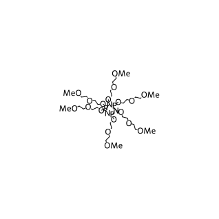 COCCOCCON1P(OCCOCCOC)N=P(OCCOCCOC)(OCCOCCOC)N(OCCOCCOC)P1OCCOCCOC